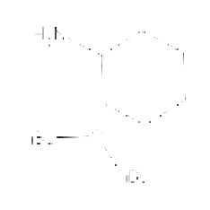 CCCCOCCCC.NC1CCCCC1